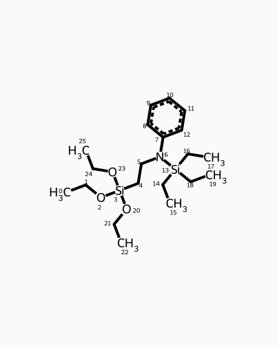 CCO[Si](CCN(c1ccccc1)[Si](CC)(CC)CC)(OCC)OCC